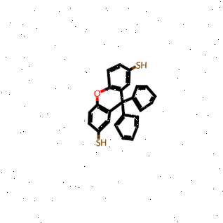 Sc1ccc2c(c1)C(c1ccccc1)(c1ccccc1)c1cc(S)ccc1O2